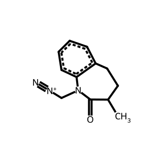 CC1CCc2ccccc2N(C[N+]#N)C1=O